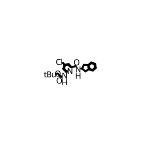 CC(C)(C)OC(=O)Nc1cc(Cl)cc(C(=O)NC2Cc3ccccc3C2)n1